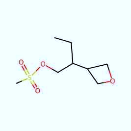 CCC(COS(C)(=O)=O)C1COC1